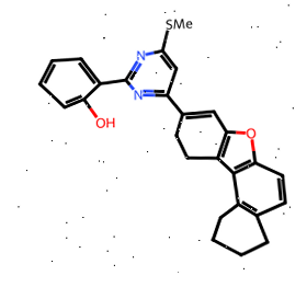 CSc1cc(C2=Cc3oc4ccc5c(c4c3CC2)CCCC5)nc(-c2ccccc2O)n1